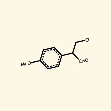 COc1ccc(C(C=O)CCl)cc1